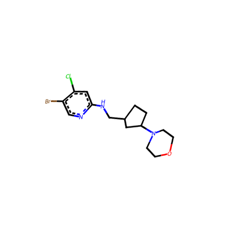 Clc1cc(NCC2CCC(N3CCOCC3)C2)ncc1Br